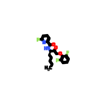 CCCCC[C@H](NC(=O)c1cccc(F)n1)C(=O)COc1c(F)cccc1F